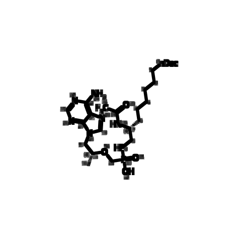 CCCCCCCCCCCCCCCC[C@H](CPP(=O)(O)CO[C@H](C)Cn1cnc2c(N)ncnc21)NC(=O)C(F)(F)F